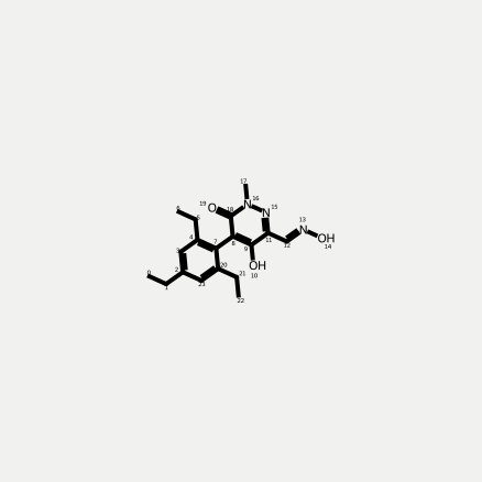 CCc1cc(CC)c(-c2c(O)c(C=NO)nn(C)c2=O)c(CC)c1